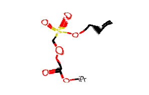 C=CCOS(=O)(=O)COC(=O)OC(C)C